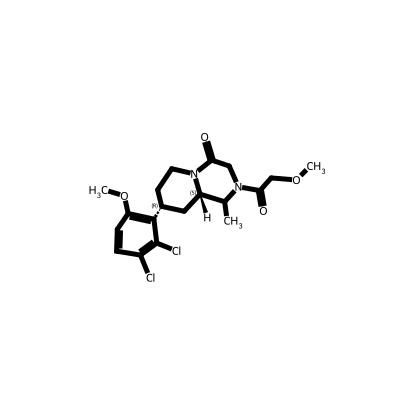 COCC(=O)N1CC(=O)N2CC[C@@H](c3c(OC)ccc(Cl)c3Cl)C[C@H]2C1C